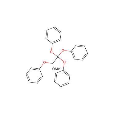 COC(Oc1ccccc1)C(Oc1ccccc1)(Oc1ccccc1)Oc1ccccc1